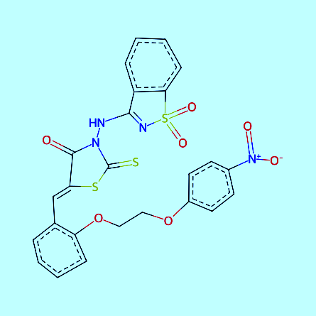 O=C1C(=Cc2ccccc2OCCOc2ccc([N+](=O)[O-])cc2)SC(=S)N1NC1=NS(=O)(=O)c2ccccc21